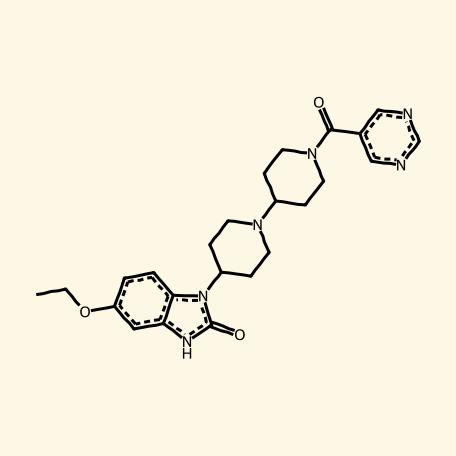 CCOc1ccc2c(c1)[nH]c(=O)n2C1CCN(C2CCN(C(=O)c3cncnc3)CC2)CC1